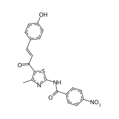 Cc1nc(NC(=O)c2ccc([N+](=O)[O-])cc2)sc1C(=O)C=Cc1ccc(O)cc1